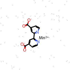 O=C([O-])c1ccnc(-c2cc(C(=O)[O-])ccn2)c1.[Mn+2]